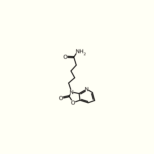 NC(=O)CCCCn1c(=O)oc2cccnc21